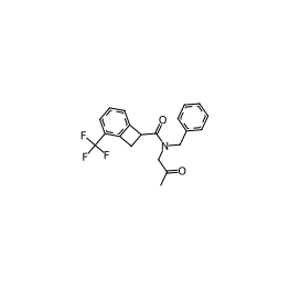 CC(=O)CN(Cc1ccccc1)C(=O)C1Cc2c1cccc2C(F)(F)F